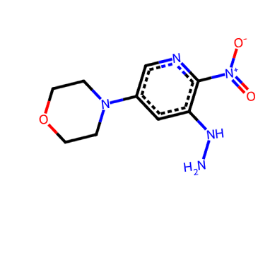 NNc1cc(N2CCOCC2)cnc1[N+](=O)[O-]